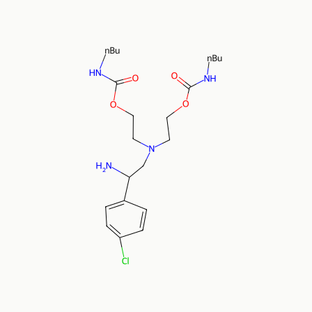 CCCCNC(=O)OCCN(CCOC(=O)NCCCC)CC(N)c1ccc(Cl)cc1